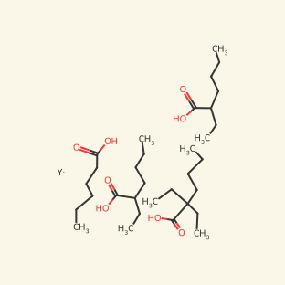 CCCCC(CC)(CC)C(=O)O.CCCCC(CC)C(=O)O.CCCCC(CC)C(=O)O.CCCCCC(=O)O.[Y]